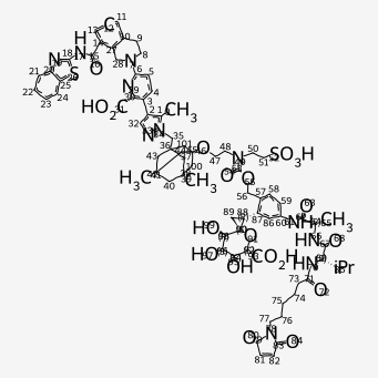 Cc1c(-c2ccc(N3CCc4cccc(C(=O)Nc5nc6ccccc6s5)c4C3)nc2C(=O)O)cnn1CC12CC3(C)CC(C)(C1)CC(OCCN(CCS(=O)(=O)O)C(=O)OCc1ccc(NC(=O)[C@H](C)NC(=O)[C@@H](NC(=O)CCCCCN4C(=O)C=CC4=O)C(C)C)cc1[C@H]1C[C@]14O[C@H](C(=O)O)[C@@H](O)[C@H](O)[C@H]4O)(C3)C2